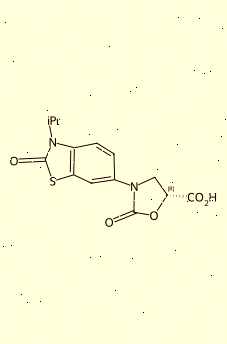 CC(C)n1c(=O)sc2cc(N3C[C@H](C(=O)O)OC3=O)ccc21